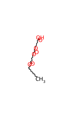 CCCCCCCC/C=C\COC(=O)CCCCCOCC(=O)COCCCCCC(=O)O